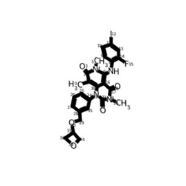 Cc1c(=O)n(C)c(Nc2ccc(I)cc2F)c2c(=O)n(C)c(=O)n(-c3cccc(COC4COC4)c3)c12